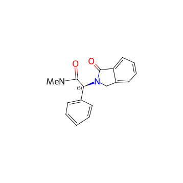 CNC(=O)[C@H](c1ccccc1)N1Cc2ccccc2C1=O